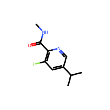 CNC(=O)c1ncc(C(C)C)cc1F